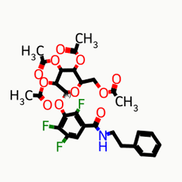 CC(=O)OCC1O[C@H](Oc2c(F)c(F)cc(C(=O)NCCc3ccccc3)c2F)C(OC(C)=O)C(OC(C)=O)C1OC(C)=O